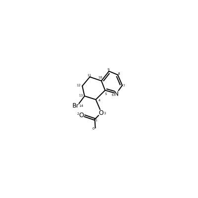 CC(=O)OC1c2ncccc2CCC1Br